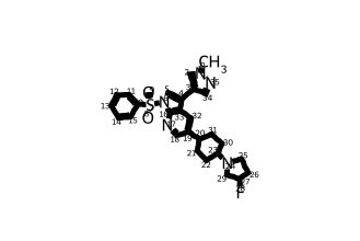 Cn1cc(-c2cn(S(=O)(=O)c3ccccc3)c3ncc(C4CCC(N5CCC(F)C5)CC4)cc23)cn1